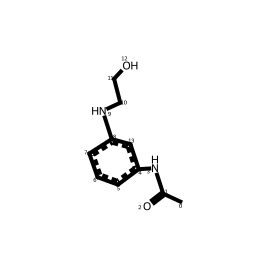 CC(=O)Nc1cccc(NCCO)c1